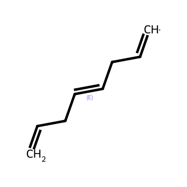 [CH]=CC/C=C/CC=C